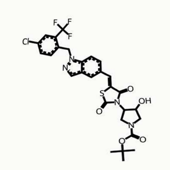 CC(C)(C)OC(=O)N1CC(O)C(N2C(=O)SC(=Cc3ccc4c(cnn4Cc4ccc(Cl)cc4C(F)(F)F)c3)C2=O)C1